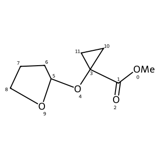 COC(=O)C1(OC2CCCO2)CC1